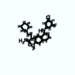 COc1cc2ccnc(Nc3cc(F)cc(Cl)c3)c2cc1C(CCN1CCCCC1)C(N)=O